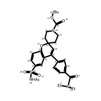 CCN(CC)C(=O)c1ccc(C2=CC3(CCN(C(=O)OC(C)(C)C)CC3)Oc3ccc(S(=O)(=O)NC(C)=O)cc32)cc1